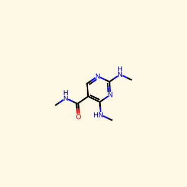 CNC(=O)c1cnc(NC)nc1NC